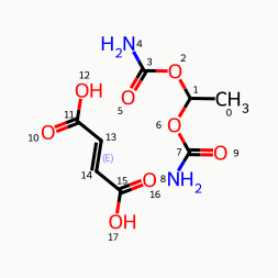 CC(OC(N)=O)OC(N)=O.O=C(O)/C=C/C(=O)O